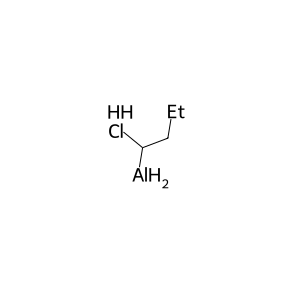 CCC[CH]([AlH2])Cl.[HH]